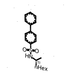 CCCCCC[C@H](C)NS(=O)(=O)c1ccc(-c2ccccc2)cc1